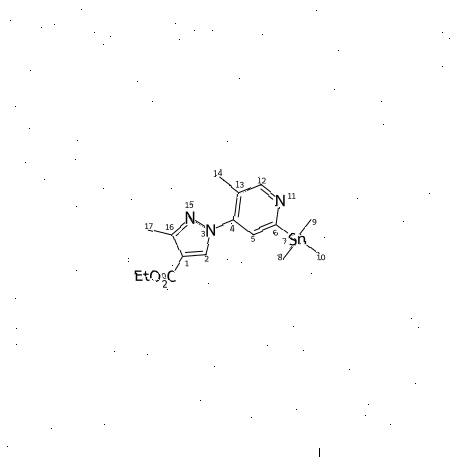 CCOC(=O)c1cn(-c2c[c]([Sn]([CH3])([CH3])[CH3])ncc2C)nc1C